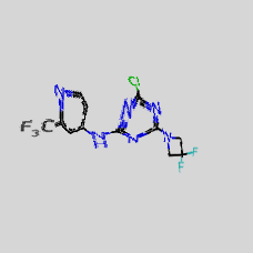 FC1(F)CN(c2nc(Cl)nc(Nc3ccnc(C(F)(F)F)c3)n2)C1